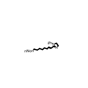 CCCCCCCCCCCCCCCC=CC1=NCCN1C(C)C